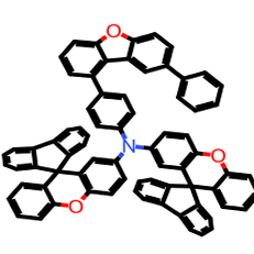 c1ccc(-c2ccc3oc4cccc(-c5ccc(N(c6ccc7c(c6)C6(c8ccccc8O7)c7ccccc7-c7ccccc76)c6ccc7c(c6)C6(c8ccccc8O7)c7ccccc7-c7ccccc76)cc5)c4c3c2)cc1